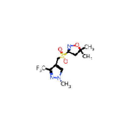 Cn1cc(CS(=O)(=O)C2=NOC(C)(C)C2)c(C(F)(F)F)n1